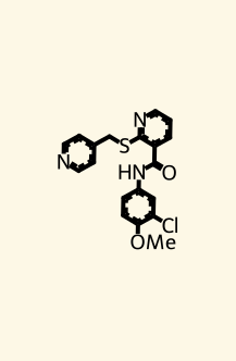 COc1ccc(NC(=O)c2cccnc2SCc2ccncc2)cc1Cl